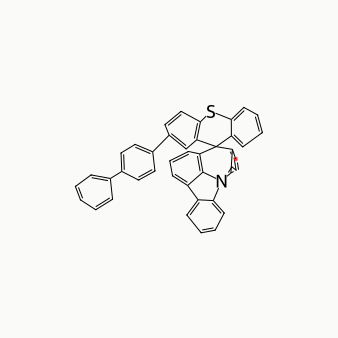 c1ccc(-c2ccc(-c3ccc4c(c3)C3(c5ccccc5S4)c4ccccc4-n4c5ccccc5c5cccc3c54)cc2)cc1